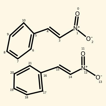 O=[N+]([O-])C=Cc1ccccc1.O=[N+]([O-])C=Cc1ccccc1